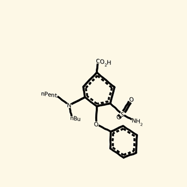 CCCCCN(CCCC)c1cc(C(=O)O)cc(S(N)(=O)=O)c1Oc1ccccc1